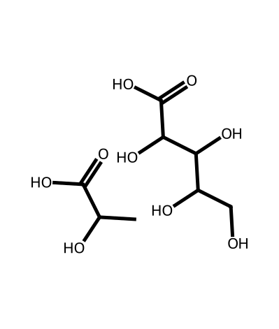 CC(O)C(=O)O.O=C(O)C(O)C(O)C(O)CO